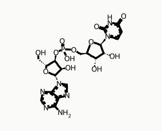 Nc1ncnc2c1ncn2[C@@H]1O[C@H](CO)[C@@H](OP(=O)(O)OC[C@H]2O[C@@H](n3ccc(=O)[nH]c3=O)[C@H](O)[C@@H]2O)[C@H]1O